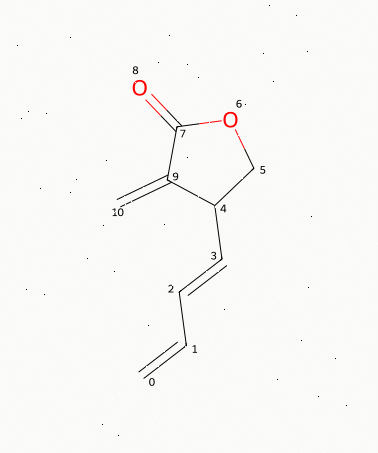 C=CC=CC1COC(=O)C1=C